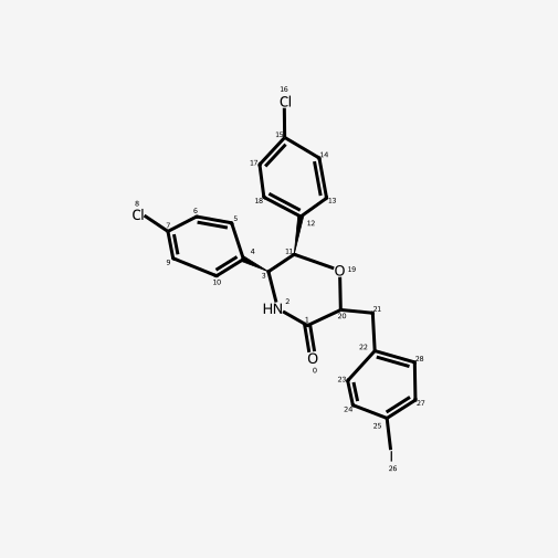 O=C1N[C@@H](c2ccc(Cl)cc2)[C@@H](c2ccc(Cl)cc2)OC1Cc1ccc(I)cc1